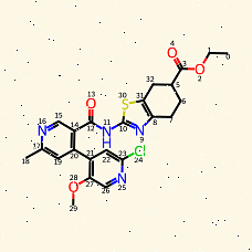 CCOC(=O)C1CCc2nc(NC(=O)c3cnc(C)cc3-c3cc(Cl)ncc3OC)sc2C1